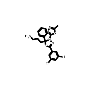 Cc1nnc(N2N=C(c3cc(Cl)cc(Cl)c3)SC2(CCCN)c2ccccc2)s1